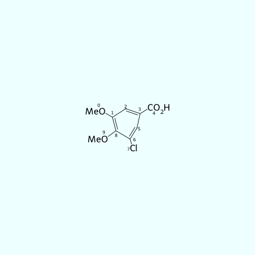 COc1cc(C(=O)O)cc(Cl)c1OC